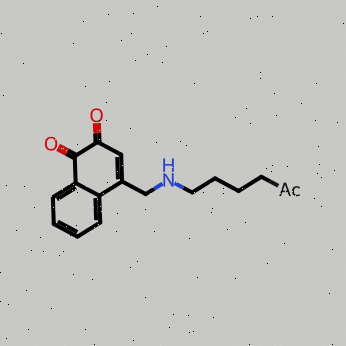 CC(=O)CCCCNCC1=CC(=O)C(=O)c2ccccc21